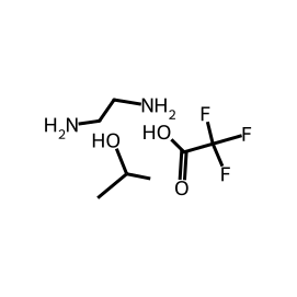 CC(C)O.NCCN.O=C(O)C(F)(F)F